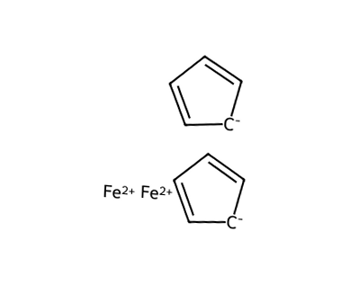 [Fe+2].[Fe+2].c1cc[cH-]c1.c1cc[cH-]c1